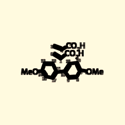 C=CC(=O)O.C=CC(=O)O.COc1ccc(-c2ccc(OC)cc2)cc1